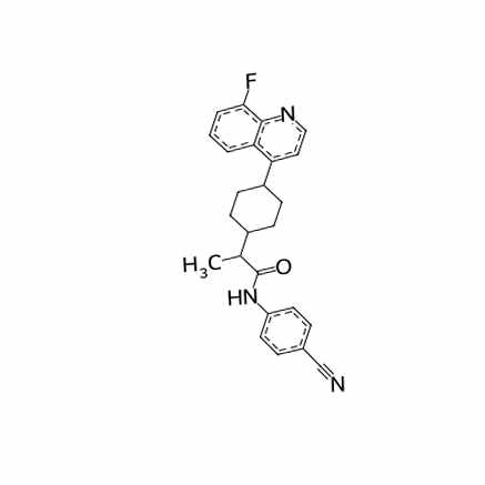 CC(C(=O)Nc1ccc(C#N)cc1)C1CCC(c2ccnc3c(F)cccc23)CC1